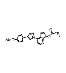 COc1ccc(-c2cnn(-c3ccnc4c3ccn4OC(=O)C(F)(F)F)c2)cc1